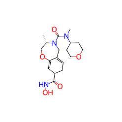 C[C@H]1COC2=CC(C(=O)NO)CC=C2CN1C(=O)N(C)C1CCOCC1